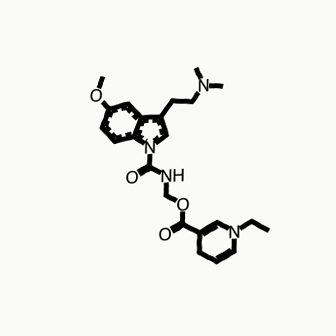 CCN1C=CCC(C(=O)OCNC(=O)n2cc(CCN(C)C)c3cc(OC)ccc32)=C1